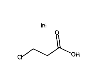 O=C(O)CCCl.[In]